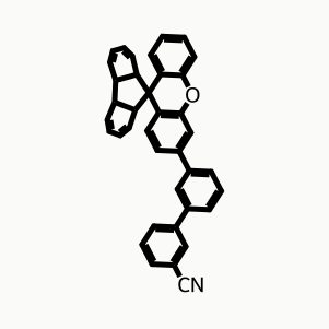 N#Cc1cccc(-c2cccc(-c3ccc4c(c3)Oc3ccccc3C43C4C=CC=CC4C4C=CC=CC43)c2)c1